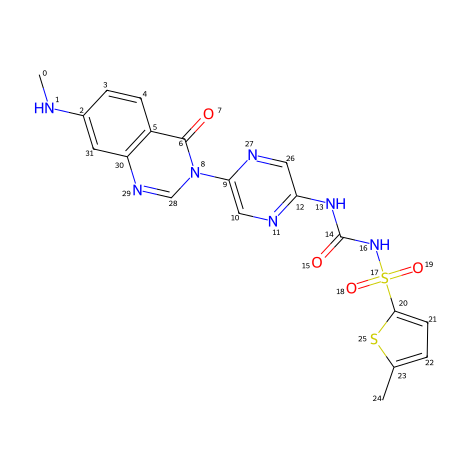 CNc1ccc2c(=O)n(-c3cnc(NC(=O)NS(=O)(=O)c4ccc(C)s4)cn3)cnc2c1